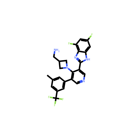 Cc1cc(-c2cncc(-c3nc4c(F)cc(F)cc4[nH]3)c2N2CC(CN)C2)cc(C(F)(F)F)c1